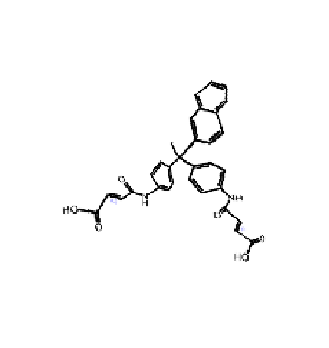 CC(c1ccc(NC(=O)/C=C/C(=O)O)cc1)(c1ccc(NC(=O)/C=C/C(=O)O)cc1)c1ccc2ccccc2c1